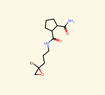 CCC1(CCCNC(=O)C2CCCC2C(N)=O)CO1